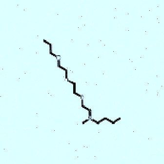 CCCCN(C)CCOCCOCCOCCC